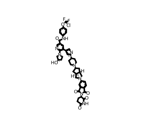 O=C1CCC(N2C(=O)c3ccc(N4C[C@H]5CC(N6CCC(n7cc(-c8cc(C(=O)Nc9ccc(OC(F)(F)Cl)cc9)cnc8N8CC[C@@H](O)C8)cn7)CC6)C[C@H]5C4)cc3C2=O)C(=O)N1